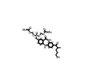 CC(C)CCCC(C)C(=O)c1ccc2c(c1)NC(=O)c1cc(CP(=O)(OCOC(=O)C(C)(C)C)OCOC(=O)C(C)(C)C)ccc1N2